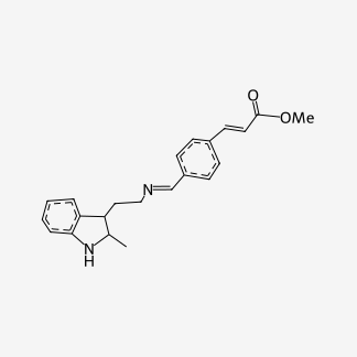 COC(=O)/C=C/c1ccc(C=NCCC2c3ccccc3NC2C)cc1